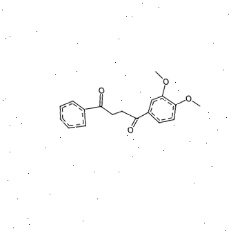 COc1ccc(C(=O)CCC(=O)c2ccccc2)cc1OC